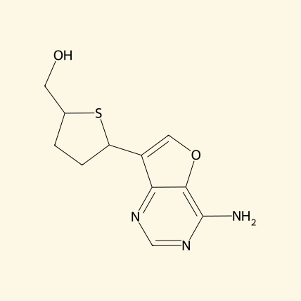 Nc1ncnc2c(C3CCC(CO)S3)coc12